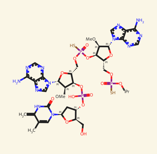 C=C1NC(=O)N([C@H]2C[C@H](OP(=O)(O)O[C@H]3[C@@H](OC)[C@H](n4cnc5c(N)ncnc54)O[C@@H]3COP(=O)(S)O[C@H]3[C@@H](OC)[C@H](n4cnc5c(N)ncnc54)O[C@@H]3COP(=O)(S)OC(C)C)[C@@H](CO)O2)C=C1C